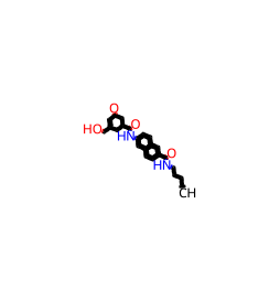 C#CCCCNC(=O)c1ccc2cc(NC(=O)C3CC(=O)C=C(CO)C3)ccc2c1